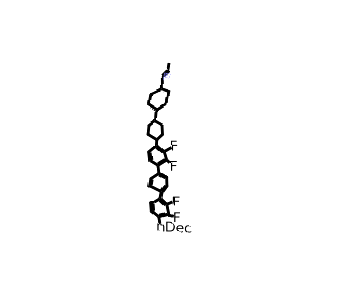 C/C=C/C1CCC(C2CCC(c3ccc(-c4ccc(-c5ccc(CCCCCCCCCC)c(F)c5F)cc4)c(F)c3F)CC2)CC1